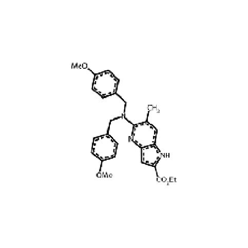 CCOC(=O)c1cc2nc(N(Cc3ccc(OC)cc3)Cc3ccc(OC)cc3)c(C)cc2[nH]1